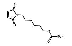 CCCC(C)C(=O)OCCCCCCN1C(=O)C=CC1=O